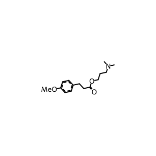 COc1ccc(CCC(=O)OCCCN(C)C)cc1